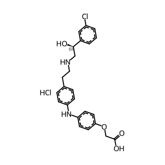 Cl.O=C(O)COc1ccc(Nc2ccc(CCNC[C@@H](O)c3cccc(Cl)c3)cc2)cc1